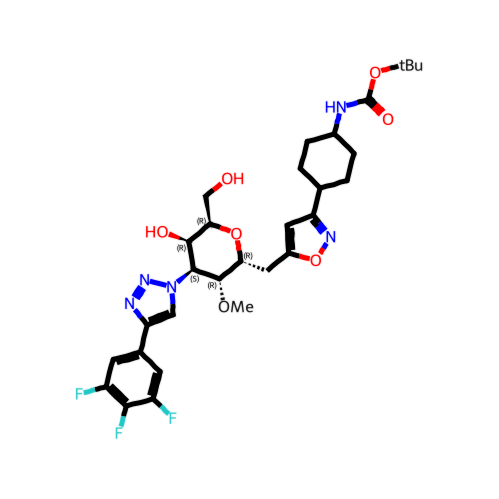 CO[C@@H]1[C@@H](n2cc(-c3cc(F)c(F)c(F)c3)nn2)[C@@H](O)[C@@H](CO)O[C@@H]1Cc1cc(C2CCC(NC(=O)OC(C)(C)C)CC2)no1